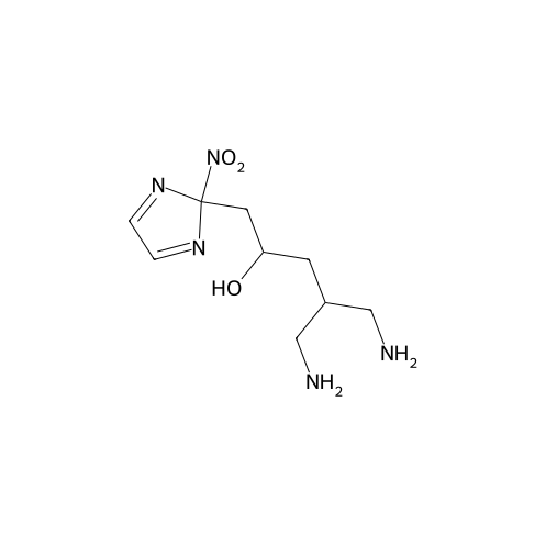 NCC(CN)CC(O)CC1([N+](=O)[O-])N=CC=N1